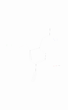 C#Cc1cc(OC)c(CC(C)N)cc1OC.Cl